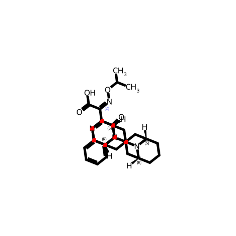 CC(C)O/N=C(\C(=O)O)c1nc2ccccc2n(C2C[C@H]3CCC[C@@H](C2)N3C2C[C@H]3CCC[C@@H](C2)C3)c1=O